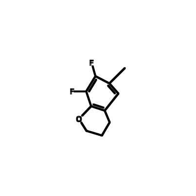 Cc1cc2c(c(F)c1F)OCCC2